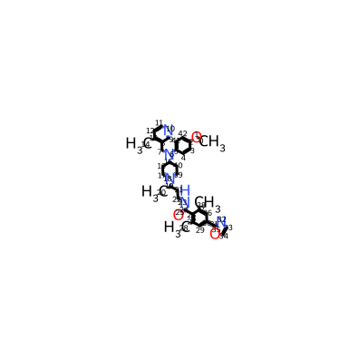 COc1ccc(N(Cc2cnccc2C)C2CCN(C(C)CCNC(=O)c3c(C)cc(-c4ncco4)cc3C)CC2)cc1